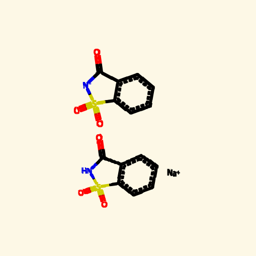 O=C1NS(=O)(=O)c2ccccc21.O=C1[N-]S(=O)(=O)c2ccccc21.[Na+]